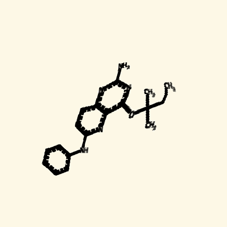 CCC(C)(C)Oc1nc(N)nc2ccc(Nc3ccccc3)nc12